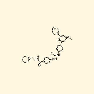 CON1C=C(c2ccc(NC(=O)Nc3ccc(C(=O)NCCN4CCCCC4)cc3)cc2)SC(N2CCOCC2)=C1